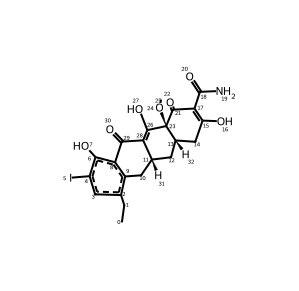 CCc1cc(I)c(O)c2c1C[C@H]1C[C@H]3CC(O)=C(C(N)=O)C(=O)[C@@]3(OC)C(O)=C1C2=O